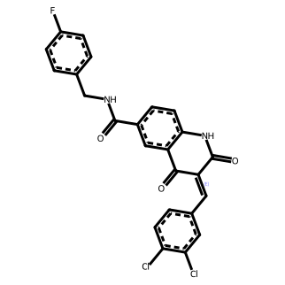 O=C1Nc2ccc(C(=O)NCc3ccc(F)cc3)cc2C(=O)/C1=C\c1ccc(Cl)c(Cl)c1